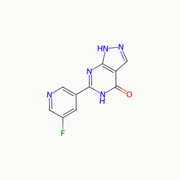 O=c1[nH]c(-c2cncc(F)c2)nc2[nH]ncc12